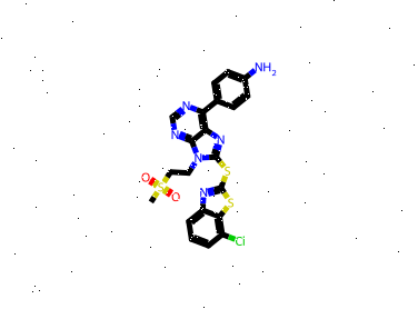 CS(=O)(=O)CCn1c(Sc2nc3cccc(Cl)c3s2)nc2c(-c3ccc(N)cc3)ncnc21